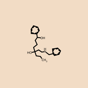 CCCC(O)(CCCC(O)c1ccccc1)CCNCc1ccccc1